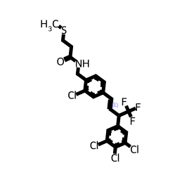 CSCCC(=O)NCc1ccc(/C=C/C(c2cc(Cl)c(Cl)c(Cl)c2)C(F)(F)F)cc1Cl